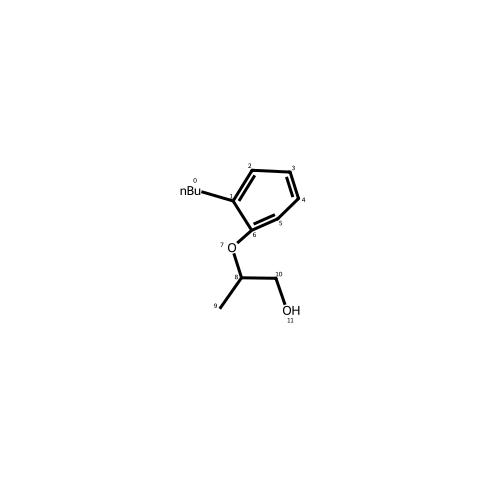 CCCCc1ccccc1OC(C)CO